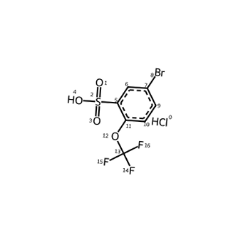 Cl.O=S(=O)(O)c1cc(Br)ccc1OC(F)(F)F